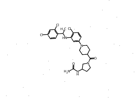 CC(Nc1cc(N2CCC(C(=O)N3CCC(NC(N)=O)C3)CC2)ccc1Cl)c1ccc(Cl)cc1Cl